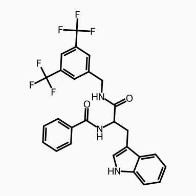 O=C(NC(Cc1c[nH]c2ccccc12)C(=O)NCc1cc(C(F)(F)F)cc(C(F)(F)F)c1)c1ccccc1